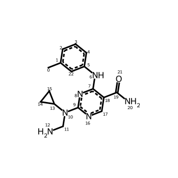 Cc1cccc(Nc2nc(N(CN)C3CC3)ncc2C(N)=O)c1